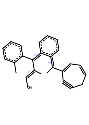 CC(=C\S)/C(c1ccccc1C)=c1/cccc/c1=C(/C)C1=CC=CCC#C1